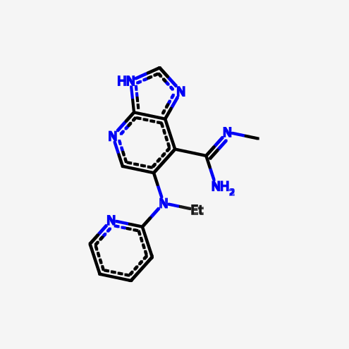 CCN(c1ccccn1)c1cnc2[nH]cnc2c1C(N)=NC